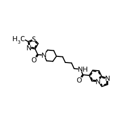 Cc1nc(C(=O)N2CCC(CCCCNC(=O)c3ccc4nccn4c3)CC2)cs1